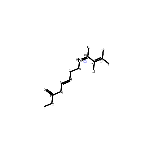 C=C(CC)CC=CCC/N=C(/C)C(C)=C(C)C